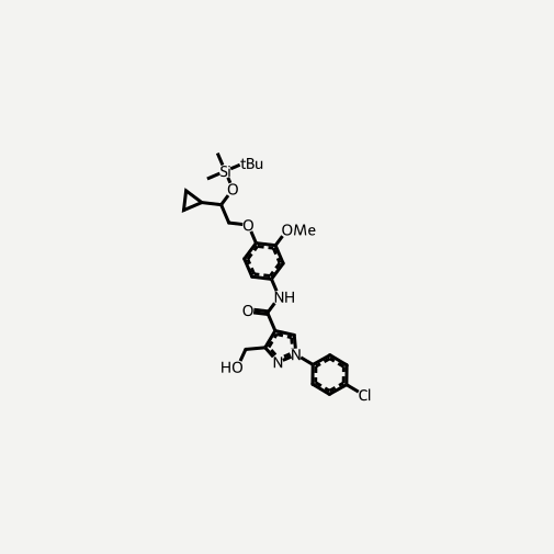 COc1cc(NC(=O)c2cn(-c3ccc(Cl)cc3)nc2CO)ccc1OCC(O[Si](C)(C)C(C)(C)C)C1CC1